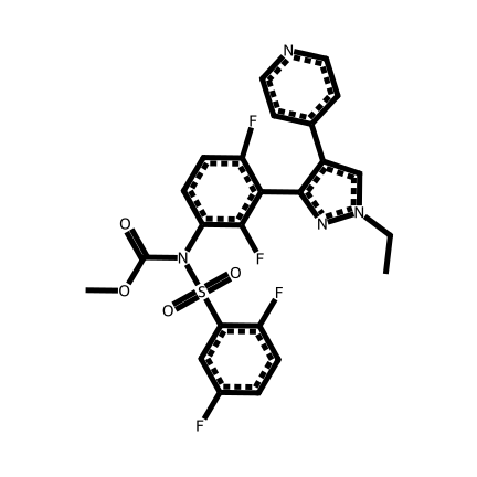 CCn1cc(-c2ccncc2)c(-c2c(F)ccc(N(C(=O)OC)S(=O)(=O)c3cc(F)ccc3F)c2F)n1